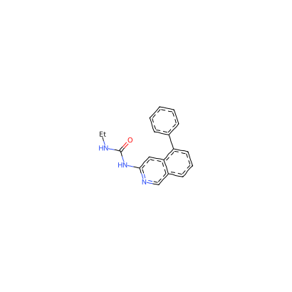 CCNC(=O)Nc1cc2c(-c3ccccc3)cccc2cn1